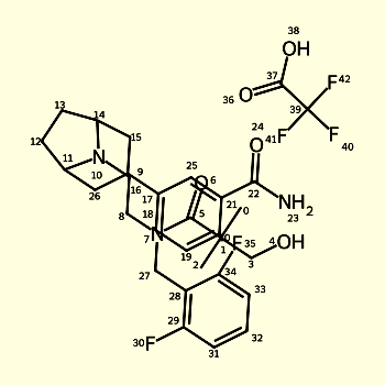 CC(C)(CO)C(=O)N(CCN1C2CCC1CC(c1cccc(C(N)=O)c1)C2)Cc1c(F)cccc1F.O=C(O)C(F)(F)F